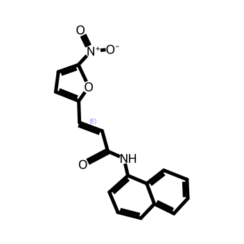 O=C(/C=C/c1ccc([N+](=O)[O-])o1)Nc1cccc2ccccc12